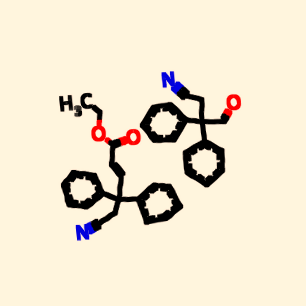 CCOC(=O)C=CC(CC#N)(c1ccccc1)c1ccccc1.N#CCC(C=O)(c1ccccc1)c1ccccc1